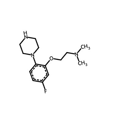 CN(C)CCOc1cc(F)ccc1N1CCNCC1